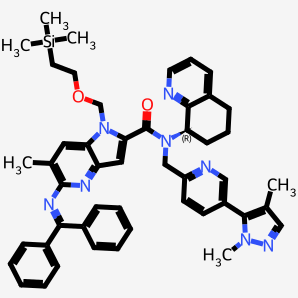 Cc1cc2c(cc(C(=O)N(Cc3ccc(-c4c(C)cnn4C)cn3)[C@@H]3CCCc4cccnc43)n2COCC[Si](C)(C)C)nc1N=C(c1ccccc1)c1ccccc1